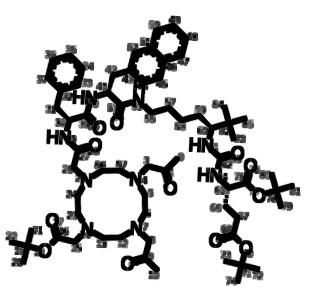 CC(=O)CN1CCN(CC(C)=O)CCN(CC(=O)OC(C)(C)C)CCN(CC(=O)N[C@@H](Cc2ccccc2)C(=O)N[C@@H](Cc2ccc3ccccc3c2)C(=O)NCCCC[C@H](NC(=O)N[C@@H](CCC(=O)OC(C)(C)C)C(=O)OC(C)(C)C)C(C)(C)C)CC1